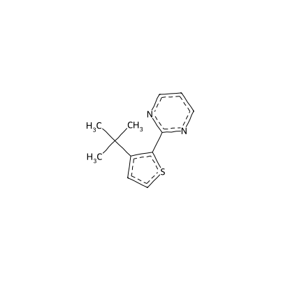 CC(C)(C)c1ccsc1-c1ncccn1